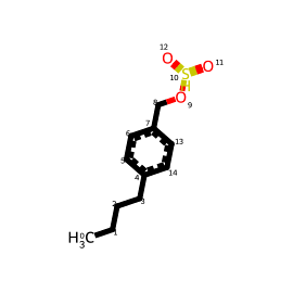 CCCCc1ccc(CO[SH](=O)=O)cc1